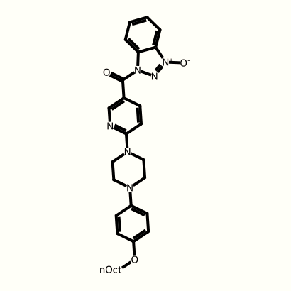 CCCCCCCCOc1ccc(N2CCN(c3ccc(C(=O)n4n[n+]([O-])c5ccccc54)cn3)CC2)cc1